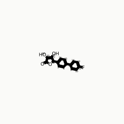 O=C1OC(c2ccc(-c3ccc(F)cc3)cc2)C(O)=C1O